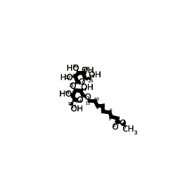 COC(=O)CCCCCCCCO[C@H]1O[C@H](CO)[C@H](O)[C@H](O[C@@H]2O[C@H](CO)[C@H](O)[C@H](O)[C@H]2O)[C@H]1O